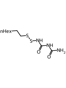 CCCCCCCCSSNC(=O)NC(N)=O